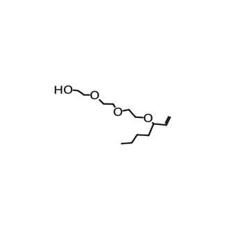 C=CC(CCCC)OCCOCCOCCO